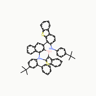 CC(C)(C)c1ccc(Nc2ccc3c(sc4ccccc43)c2-c2cc3ccccc3c3c2Bc2c(sc4ccccc24)N3c2ccc(C(C)(C)C)cc2-c2ccccc2)cc1